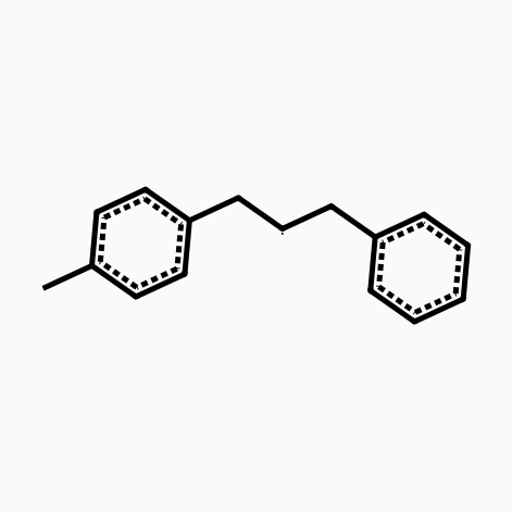 Cc1ccc(C[CH]Cc2ccccc2)cc1